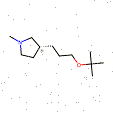 CN1CC[C@@H](CCCOC(C)(C)C)C1